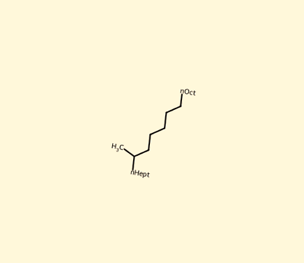 [CH2]CCCCCCCCCCCCC(C)CCCCCC[CH2]